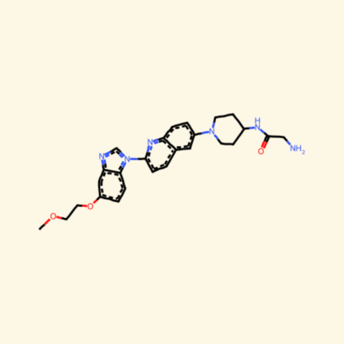 COCCOc1ccc2c(c1)ncn2-c1ccc2cc(N3CCC(NC(=O)CN)CC3)ccc2n1